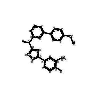 CCOc1ccc(-c2cccc(C(C)c3nc(-c4ccc(C)c([N+](=O)[O-])c4)no3)c2)cc1